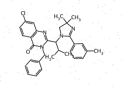 Cc1cccc(C2=NC(C)(C)CN2C(c2nc3cc(Cl)ccc3c(=O)n2Cc2ccccc2)C(C)C)c1